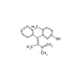 C=C(C)/C(C)=C(/c1ccccc1)c1cc(S)ccc1C